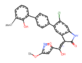 CCOc1cc(/C(O)=C2/C(=O)Nc3cc(Cl)c(-c4ccc(-c5cccc(OC)c5O)cc4)cc32)on1